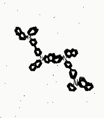 c1ccc(N(c2ccc(-c3ccc(N(c4ccc5c(c4)CCc4cc(N(c6ccc(-c7ccc(N(c8ccccc8)c8ccc9ccccc9c8)cc7)cc6)c6ccc7ccccc7c6)ccc4-5)c4ccc5ccccc5c4)cc3)cc2)c2ccc3ccccc3c2)cc1